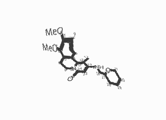 COc1ccc2c(c1OC)CCn1c-2c(C)c(NCC2CCCCO2)cc1=O